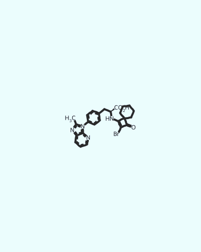 Cc1nc2cccnc2n1-c1ccc(C[C@H](NC2=C(Br)C(=O)C23CCCCC3)C(=O)O)cc1